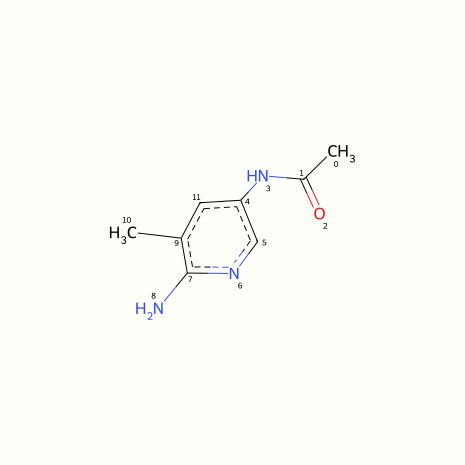 CC(=O)Nc1cnc(N)c(C)c1